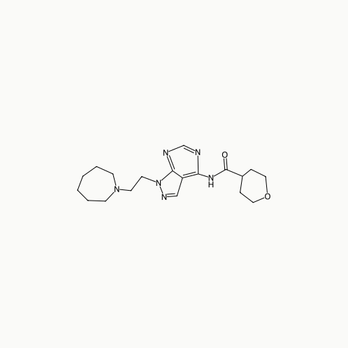 O=C(Nc1ncnc2c1cnn2CCN1CCCCCC1)C1CCOCC1